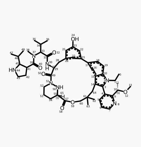 CCn1c(-c2cccnc2[C@H](C)OC)c2c3cc(ccc31)-c1cc(O)cc(c1)C[C@H](NC(=O)C(C(C)C)N(C)C(=O)C1CCNC1C(C)C)C(=O)N1CCC[C@H](N1)C(=O)OCC(C)(C)C2